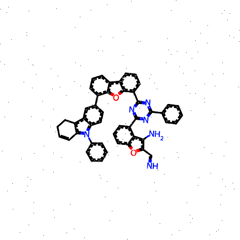 N=Cc1oc2cccc(-c3nc(-c4ccccc4)nc(-c4cccc5c4oc4c(-c6ccc7c(c6)c6c(n7-c7ccccc7)C=CCC6)cccc45)n3)c2c1N